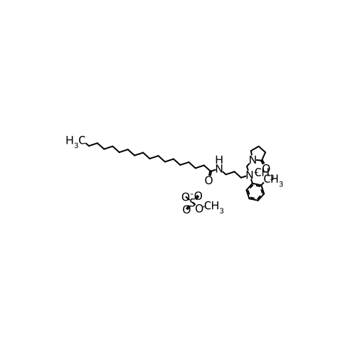 CCCCCCCCCCCCCCCCCC(=O)NCCC[N+](C)(CN1CCCC1=O)c1ccccc1C.COS(=O)(=O)[O-]